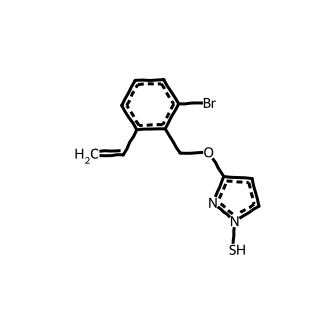 C=Cc1cccc(Br)c1COc1ccn(S)n1